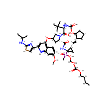 C=C[C@@H]1C[C@]1(NC(=O)[C@@H]1CC(Oc2cc(-c3csc(NC(C)C)n3)nc3cc(OC)ccc23)CN1C(=O)[C@@H](NC(=O)OC1CCCC1)C(C)(C)C)P(C)(=O)OCOC(=O)OCCCC